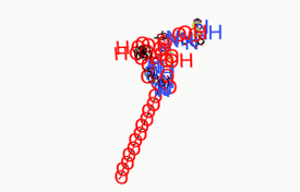 COCCOCCOCCOCCOCCOCCOCCOCCOCCOCCOCCOCCn1cc([C@H](CC(=O)N[C@H](C(=O)N[C@@H](C)C(=O)Nc2ccc(COC(=O)N(CCOC34CC5(C)CC(C)(CC(Cn6cc(-c7ccc(N8CCc9cccc(C(=O)Nc%10nc%11ccccc%11s%10)c9C8)nc7C(=O)O)cn6)(C5)C3)C4)CCS(=O)(=O)O)c(CC[C@@H]3O[C@H](C(=O)O)[C@@H](O)[C@H](O)[C@H]3O)c2)C(C)C)N2C(=O)C=CC2=O)nn1